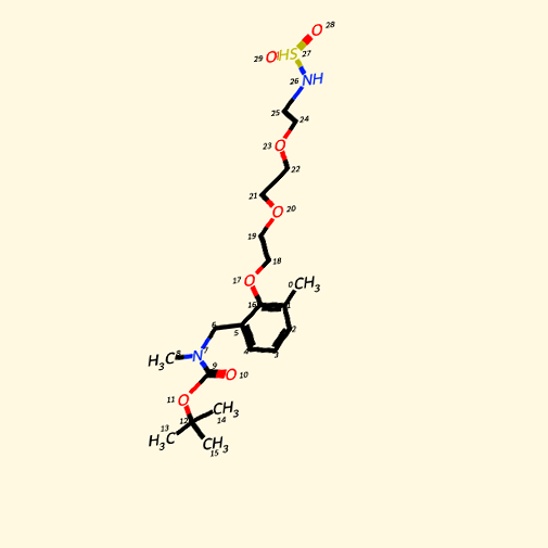 Cc1cccc(CN(C)C(=O)OC(C)(C)C)c1OCCOCCOCCN[SH](=O)=O